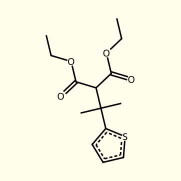 CCOC(=O)C(C(=O)OCC)C(C)(C)c1cccs1